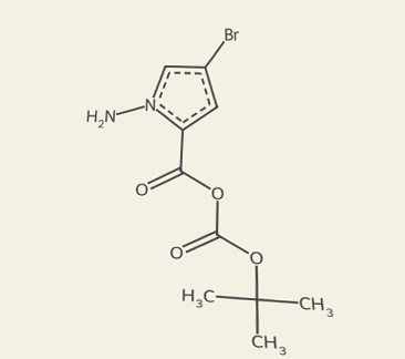 CC(C)(C)OC(=O)OC(=O)c1cc(Br)cn1N